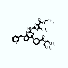 CCOC(=O)c1sc(Nc2nc3c(c(N4CCCC(C(=O)N(CC)CC)C4)n2)CCN3Cc2cccnc2)nc1C